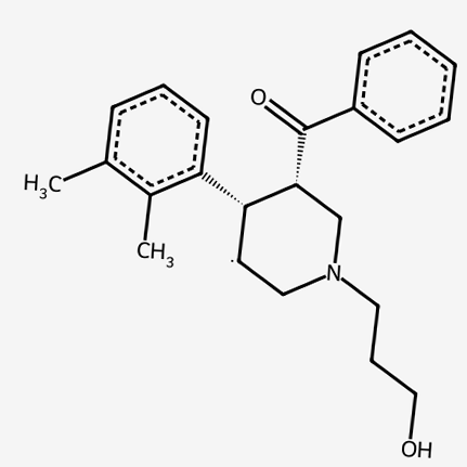 Cc1cccc([C@H]2[CH]CN(CCCO)C[C@H]2C(=O)c2ccccc2)c1C